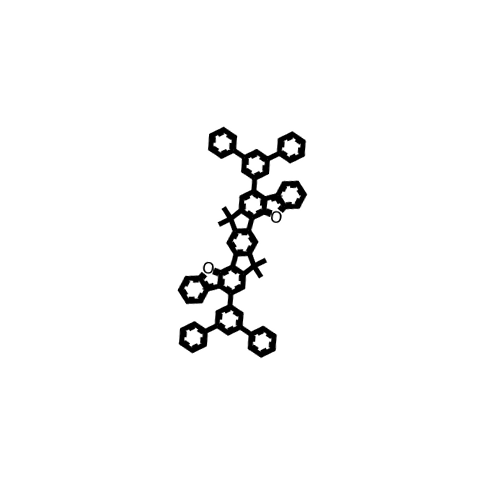 CC1(C)c2cc3c(cc2-c2c1cc(-c1cc(-c4ccccc4)cc(-c4ccccc4)c1)c1c2oc2ccccc21)C(C)(C)c1cc(-c2cc(-c4ccccc4)cc(-c4ccccc4)c2)c2c(oc4ccccc42)c1-3